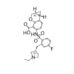 CCN1CC[C@H](Cc2cc(F)ccc2S(=O)(=O)Nc2ccc3c(c2C(=O)O)OC[C@@H]2C[C@H]32)C1